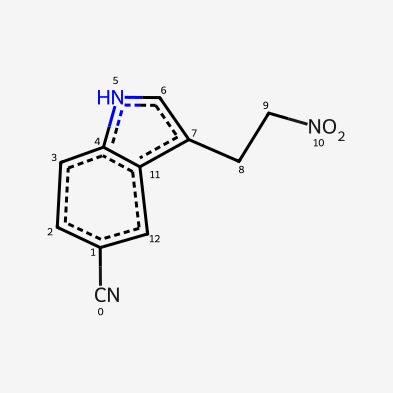 N#Cc1ccc2[nH]cc(CC[N+](=O)[O-])c2c1